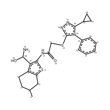 CC1CCc2c(sc(NC(=O)CSc3nnc(C4CC4)n3-c3ccccc3)c2C(N)O)C1